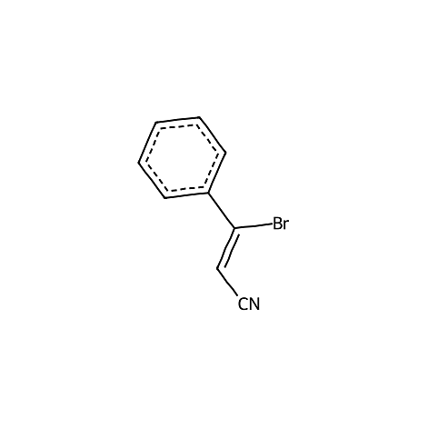 N#CC=C(Br)c1ccccc1